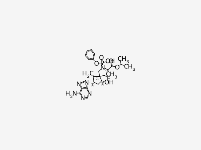 C=C1[C@@H](n2cnc3c(N)ncnc32)C[C@H](O)[C@@]1(CF)CN([C@@H](C)C(=O)OC(C)C)P(=O)(O)Oc1ccccc1